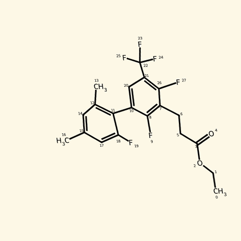 CCOC(=O)CCc1c(F)c(-c2c(C)cc(C)cc2F)cc(C(F)(F)F)c1F